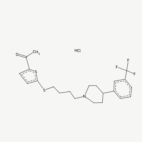 CC(=O)c1ccc(SCCCCN2CCC(c3cccc(C(F)(F)F)c3)CC2)s1.Cl